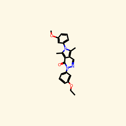 CCOc1cccc(-n2ncc3c(C)n(-c4cccc(OC)c4)c(C)c3c2=O)c1